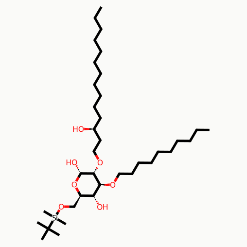 CCCCCCCCCCC[C@H](O)CCO[C@@H]1[C@@H](OCCCCCCCCCC)[C@H](O)[C@@H](CO[Si](C)(C)C(C)(C)C)O[C@@H]1O